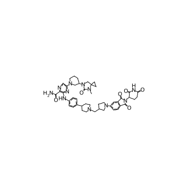 CN1C(=O)N(C2CCCN(c3cnc(C(N)=O)c(Nc4ccc(C5CCN(CC6CCN(c7ccc8c(c7)C(=O)N(C7CCC(=O)NC7=O)C8=O)C6)CC5)cc4)n3)C2)CC12CC2